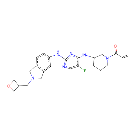 C=CC(=O)N1CCCC(Nc2nc(Nc3ccc4c(c3)CN(CC3COC3)C4)ncc2F)C1